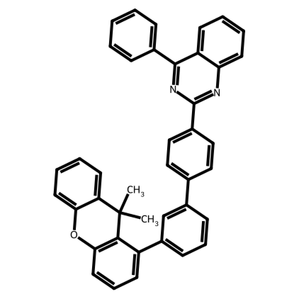 CC1(C)c2ccccc2Oc2cccc(-c3cccc(-c4ccc(-c5nc(-c6ccccc6)c6ccccc6n5)cc4)c3)c21